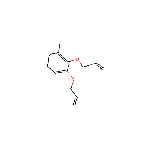 C=CCOC1=CCCC(C)=C1OCC=C